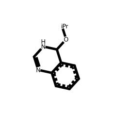 CC(C)OC1NC=Nc2ccccc21